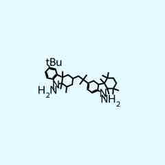 CC1CC(CC(C)(C)C2=CC=C3C(C2)C2(C)C(C)(C)CCC(C)(C)C2(C)N3N)CC2(C)c3cc(C(C)(C)C)ccc3N(N)C12C